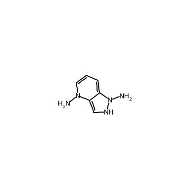 NN1C=CC=C2C1=CNN2N